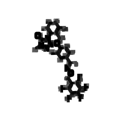 C/C(=N\OCc1c(F)c(F)c(F)c(F)c1F)c1ccc(OCc2c(C)cccc2-n2nnn(C)c2=O)c(C)c1